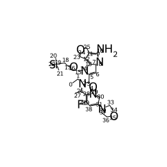 CCN(C(=O)c1cc2nc(N)c3c(c2n1COCC[Si](C)(C)C)COC3)C(C)c1ncc(N2CCOCC2)cc1F